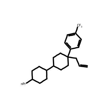 C=CCC1(c2ccc(C(F)(F)F)cc2)CCC(C2CCC(CCC)CC2)CC1